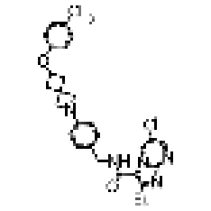 CCc1nc2ncc(Cl)cn2c1C(=O)NCc1ccc(N2CC3(CC(Oc4ccc(C(F)(F)F)cc4)C3)C2)cc1